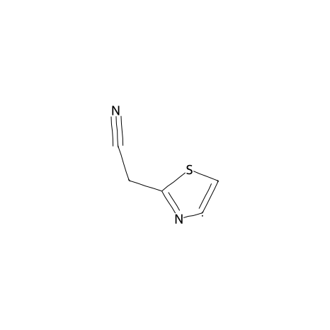 N#CCc1n[c]cs1